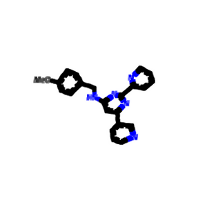 COc1ccc(CNc2cc(-c3cccnc3)nc(-c3ccccn3)n2)cc1